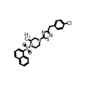 CC1CN(c2nc(Cc3ccc(Cl)cc3)ns2)CCN1S(=O)(=O)c1cccc2ccccc12